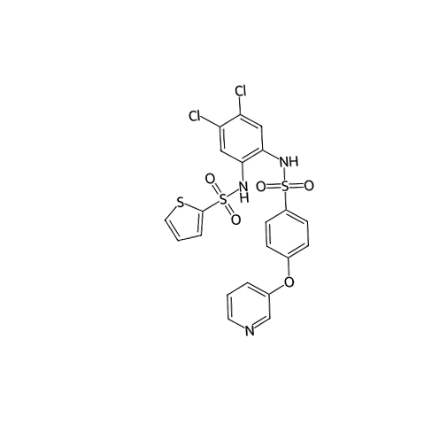 O=S(=O)(Nc1cc(Cl)c(Cl)cc1NS(=O)(=O)c1cccs1)c1ccc(Oc2cccnc2)cc1